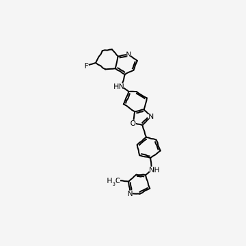 Cc1cc(Nc2ccc(-c3nc4ccc(Nc5ccnc6c5CC(F)CC6)cc4o3)cc2)ccn1